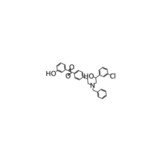 O=S(=O)(c1ccc(CCN(Cc2ccccc2)CC(O)c2cccc(Cl)c2)cc1)c1cccc(O)c1